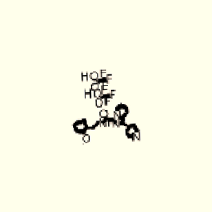 COc1ccccc1CCNC(=O)c1nc(-c2ccncc2)c2ccccn12.O=C(O)C(F)(F)F.O=C(O)C(F)(F)F